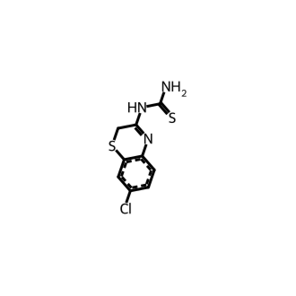 NC(=S)NC1=Nc2ccc(Cl)cc2SC1